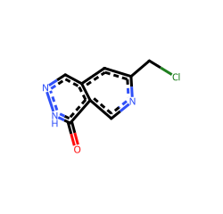 O=c1[nH]ncc2cc(CCl)ncc12